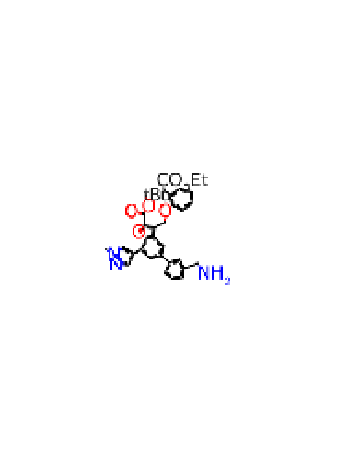 CCOC(=O)Cc1ccccc1OCc1c(C(=O)OC(C)(C)C)oc2c(-c3cnn(C)c3)cc(-c3cccc(CN)c3)cc12